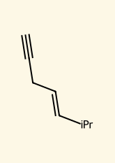 C#CCC=CC(C)C